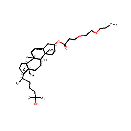 COCCOCCOCCC(=O)O[C@H]1CC[C@@]2(C)C(=CC[C@H]3[C@@H]4CC[C@H]([C@H](C)CCCC(C)(C)O)[C@@]4(C)CC[C@@H]32)C1